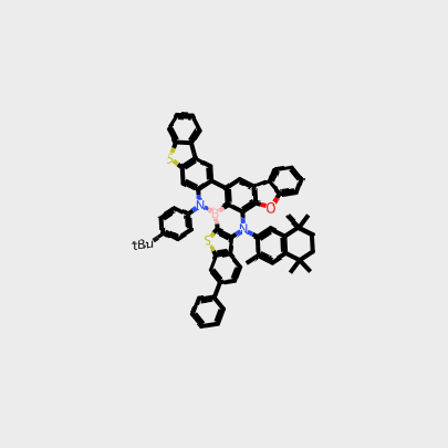 Cc1cc2c(cc1N1c3c(sc4cc(-c5ccccc5)ccc34)B3c4c(cc5c(oc6ccccc65)c41)-c1cc4c(cc1N3c1ccc(C(C)(C)C)cc1)sc1ccccc14)C(C)(C)CCC2(C)C